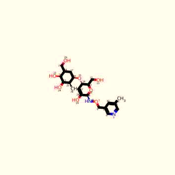 Cc1cncc(CON[C@@H]2OC(CO)[C@@H](O[C@@H]3CC(CO)[C@H](O)C(O)[C@@H]3C)C=C2O)c1